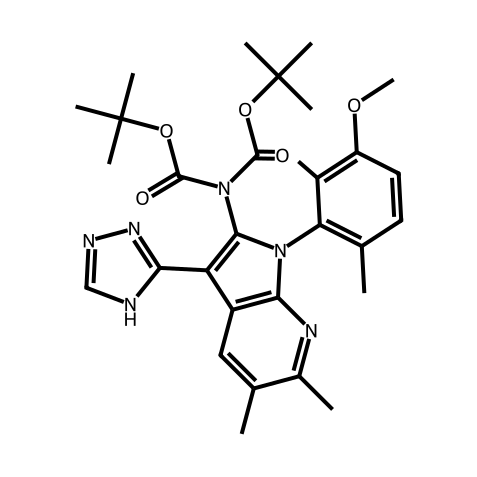 COc1ccc(C)c(-n2c(N(C(=O)OC(C)(C)C)C(=O)OC(C)(C)C)c(-c3nnc[nH]3)c3cc(C)c(C)nc32)c1C